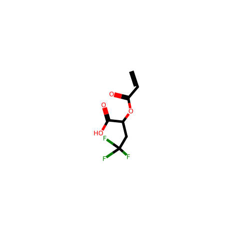 C=CC(=O)OC(CC(F)(F)F)C(=O)O